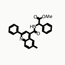 COC(=O)C(NC(=O)c1cc(-c2ccccc2)nc2ccc(C)cc12)c1ccccc1